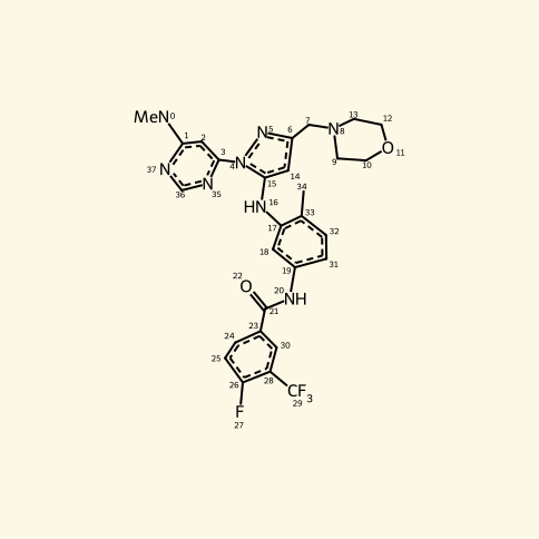 CNc1cc(-n2nc(CN3CCOCC3)cc2Nc2cc(NC(=O)c3ccc(F)c(C(F)(F)F)c3)ccc2C)ncn1